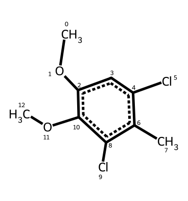 COc1cc(Cl)c(C)c(Cl)c1OC